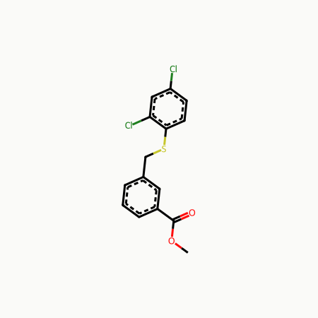 COC(=O)c1cccc(CSc2ccc(Cl)cc2Cl)c1